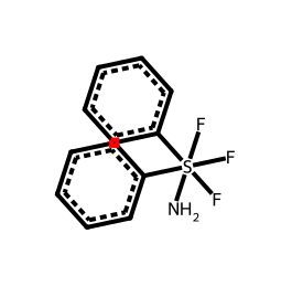 NS(F)(F)(F)(c1ccccc1)c1ccccc1